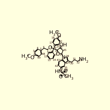 COc1ccc(CCOC(c2ccccc2)(c2ccc(OC)cc2)C2OC(n3cc(CCCN)c4cc(NS(C)(=O)=O)ccc43)CC2O)cc1